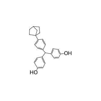 Oc1ccc(C(c2ccc(O)cc2)c2ccc(C34CCC(CC3)C4)cc2)cc1